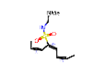 C\C=C/C=C(\C=C/C)S(=O)(=O)NCNC